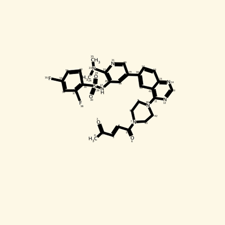 CC(=O)/C=C/C(=O)N1CCN(c2ncnc3ccc(-c4cnc(N(C)C)c(NS(=O)(=O)c5ccc(F)cc5F)c4)cc23)CC1